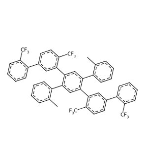 Cc1ccccc1-c1cc(-c2cc(-c3ccccc3C(F)(F)F)ccc2C(F)(F)F)c(-c2ccccc2C)cc1-c1cc(-c2ccccc2C(F)(F)F)ccc1C(F)(F)F